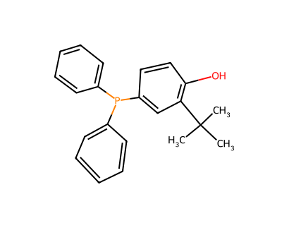 CC(C)(C)c1cc(P(c2ccccc2)c2ccccc2)ccc1O